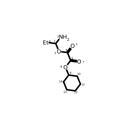 CCC(N)OC(=O)C(=O)OC1CCCCC1